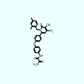 Cc1ccc(Cn2c(-c3ccc(Oc4ccc(NC(=O)C(N)=O)cc4)cc3)cc(C(F)(F)F)c(C#N)c2=O)c(C)c1